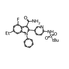 CCc1cc(F)c2c(C(N)=O)c(-c3ccc(NS(=O)(=O)C(C)(C)C)nc3)n(-c3ccccc3)c2c1